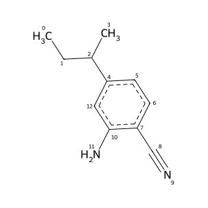 CCC(C)c1ccc(C#N)c(N)c1